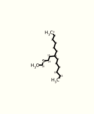 CCCCCCC(CCCCCC)CCSCC